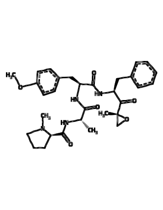 COc1ccc(C[C@H](NC(=O)[C@H](C)NC(=O)[C@H]2CCCN2C)C(=O)N[C@@H](Cc2ccccc2)C(=O)[C@@]2(C)CO2)cc1